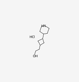 Cl.OCCC1CC(C2CCNCC2)C1